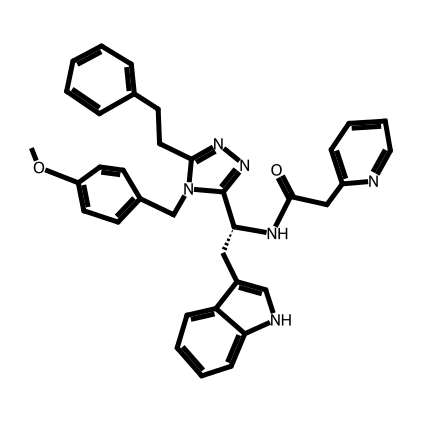 COc1ccc(Cn2c(CCc3ccccc3)nnc2[C@@H](Cc2c[nH]c3ccccc23)NC(=O)Cc2ccccn2)cc1